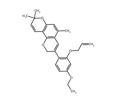 C=CCOc1cc(OCC)ccc1C1=Cc2c(C)cc3c(c2OC1)C=CC(C)(C)O3